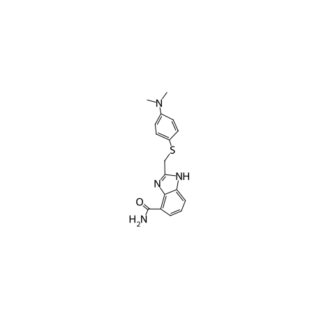 CN(C)c1ccc(SCc2nc3c(C(N)=O)cccc3[nH]2)cc1